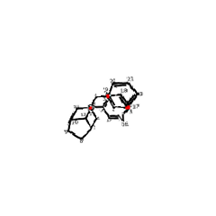 c1ccc(CN2CC3CCC(C2)C3Oc2cnccn2)cc1